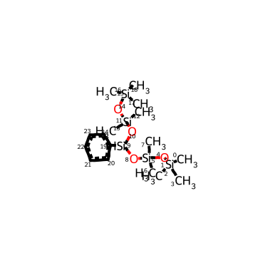 C[Si](C)(C)O[Si](C)(C)O[SiH](O[Si](C)(C)O[Si](C)(C)C)c1ccccc1